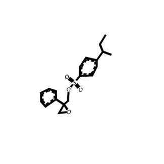 CCC(C)c1ccc(S(=O)(=O)OCC2(c3ccccc3)CO2)cc1